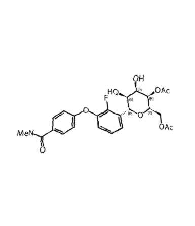 CNC(=O)c1ccc(Oc2cccc([C@H]3O[C@H](COC(C)=O)[C@H](OC(C)=O)[C@H](O)[C@@H]3O)c2F)cc1